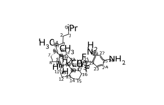 CC(C)CCC[C@@H](C)[C@H]1CC[C@H]2[C@@H]3CCC4CCCC(OC(F)(F)c5ccc(N)cc5N)[C@]4(C)[C@H]3CC[C@]12C